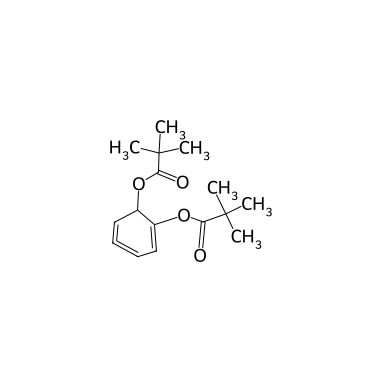 CC(C)(C)C(=O)OC1=CC=C=CC1OC(=O)C(C)(C)C